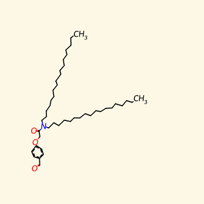 CCCCCCCCCCCCCCCCCCN(CCCCCCCCCCCCCCCCCC)C(=O)COc1ccc(C=O)cc1